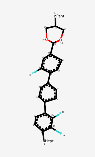 CCCCCCCc1ccc(-c2ccc(-c3ccc(C4OCC(CCCCC)CO4)cc3F)cc2)c(F)c1F